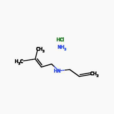 C=CCNCC=C(C)C.Cl.N